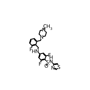 CN1CCN(Cc2cccc(F)c2CNc2cc(F)c([S+]([O-])Nc3cscn3)c(F)c2)CC1